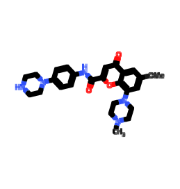 COc1cc(N2CCN(C)CC2)c2oc(C(=O)Nc3ccc(N4CCNCC4)cc3)cc(=O)c2c1